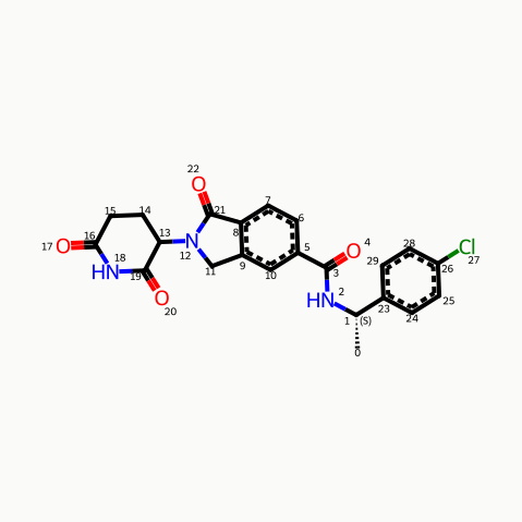 C[C@H](NC(=O)c1ccc2c(c1)CN(C1CCC(=O)NC1=O)C2=O)c1ccc(Cl)cc1